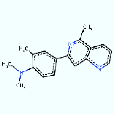 Cc1cc(-c2cc3ncccc3c(C)n2)ccc1N(C)C